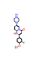 CCOc1ccc(C2=CC(=O)N3C=C(N4CCNCC4)C=CC3P2)cc1F